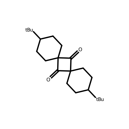 CC(C)(C)C1CCC2(CC1)C(=O)C1(CCC(C(C)(C)C)CC1)C2=O